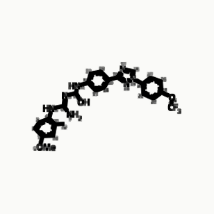 COc1ccc(N/C(N)=N/C(O)Nc2ccc(-c3ncn(-c4ccc(OC(F)(F)F)cc4)n3)cc2)c(C)c1